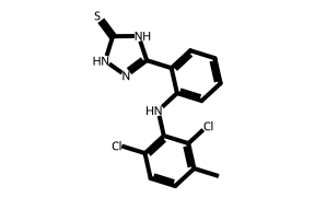 Cc1ccc(Cl)c(Nc2ccccc2-c2n[nH]c(=S)[nH]2)c1Cl